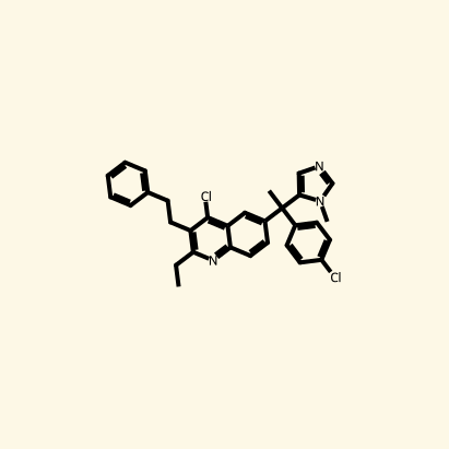 CCc1nc2ccc(C(C)(c3ccc(Cl)cc3)c3cncn3C)cc2c(Cl)c1CCc1ccccc1